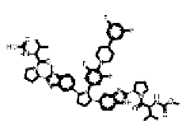 COC(=O)N[C@H](C(=O)N1CCC[C@H]1c1nc2cc([C@H]3CC[C@@H](c4ccc5[nH]c([C@@H]6CCCN6C(=O)[C@@H](NC(=O)O)C(C)C)nc5c4)N3c3cc(F)c(N4CCC(c5cc(F)cc(F)c5)CC4)c(F)c3)ccc2[nH]1)C(C)C